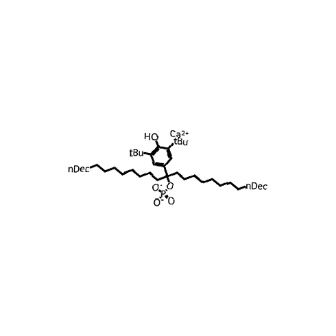 CCCCCCCCCCCCCCCCCCC(CCCCCCCCCCCCCCCCCC)(OP(=O)([O-])[O-])c1cc(C(C)(C)C)c(O)c(C(C)(C)C)c1.[Ca+2]